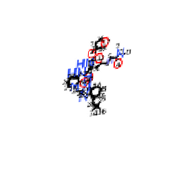 CN(C)C(=O)/C=C/CC[C@H](NC(=O)OC1CCOC1)C(=O)Nc1cccn(Cc2nc3c(CC(C)(C)C)cccc3[nH]2)c1=O